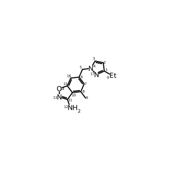 CCc1ccn(Cc2cc(C)c3c(N)noc3c2)n1